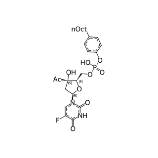 CCCCCCCCc1ccc(OP(=O)(O)OC[C@H]2O[C@@H](n3cc(F)c(=O)[nH]c3=O)C[C@@]2(O)C(C)=O)cc1